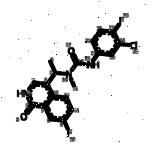 CC(c1c[nH]c(=O)c2cc(F)ccc12)N(C)C(=O)Nc1ccc(F)c(Cl)c1